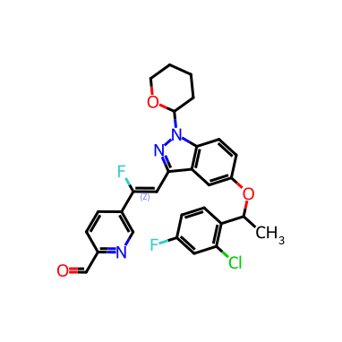 CC(Oc1ccc2c(c1)c(/C=C(\F)c1ccc(C=O)nc1)nn2C1CCCCO1)c1ccc(F)cc1Cl